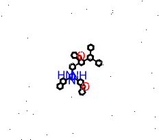 c1ccc(-c2cc(-c3ccccc3)cc(-c3ccc(-c4cccc(C5NC(c6ccc7ccccc7c6)=NC(c6ccc7oc8ccccc8c7c6)N5)c4)c4c3oc3ccccc34)c2)cc1